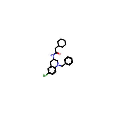 O=C(CC1CCCCC1)N[C@@H]1Cc2cc(Br)ccc2N(Cc2ccccc2)C1